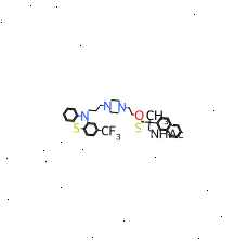 CC(=O)NCC(C)(C(=S)OCCN1CCN(CCCN2c3ccccc3Sc3ccc(C(F)(F)F)cc32)CC1)c1ccc2ccccc2c1